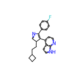 Fc1ccc(C2=C(c3ccnc4[nH]ccc34)C(CCC3CCC3)C=N2)cc1